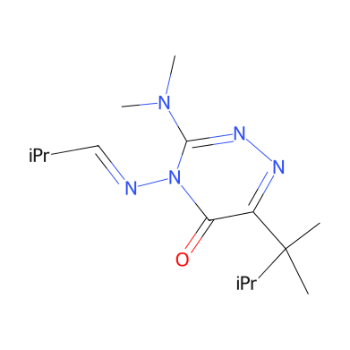 CC(C)C=Nn1c(N(C)C)nnc(C(C)(C)C(C)C)c1=O